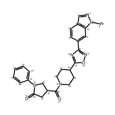 CC(C)n1ncc2ccc(-c3noc(C4CCN(C(=O)C5CC(=O)N(c6ccccc6)C5)CC4)n3)cc21